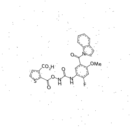 COc1cc(F)c(NC(=O)NOC(=O)c2sccc2C(=O)O)cc1C(=O)n1ccc2ccccc21